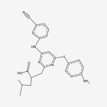 CC(C)CC(Cc1nc(Nc2cccc(C#N)c2)cc(Sc2ccc(N)cc2)n1)C(=O)O